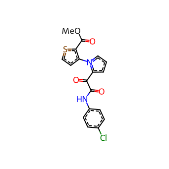 COC(=O)c1sccc1-n1cccc1C(=O)C(=O)Nc1ccc(Cl)cc1